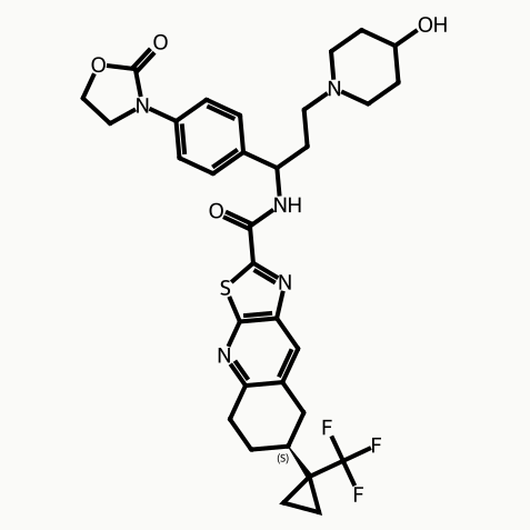 O=C(NC(CCN1CCC(O)CC1)c1ccc(N2CCOC2=O)cc1)c1nc2cc3c(nc2s1)CC[C@H](C1(C(F)(F)F)CC1)C3